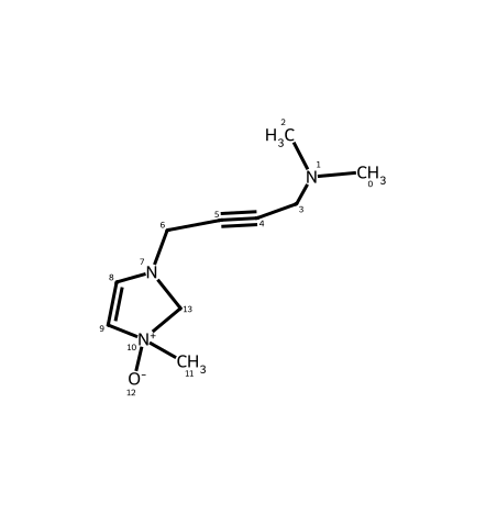 CN(C)CC#CCN1C=C[N+](C)([O-])C1